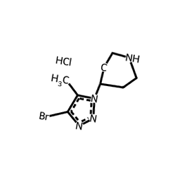 Cc1c(Br)nnn1C1CCNCC1.Cl